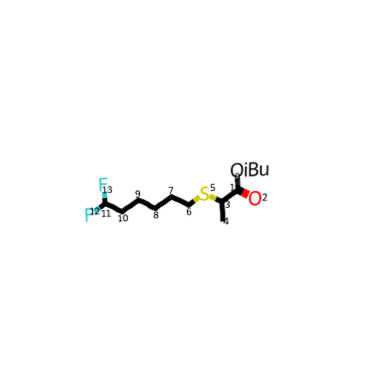 CC(C)COC(=O)C(C)SCCCCCC(F)F